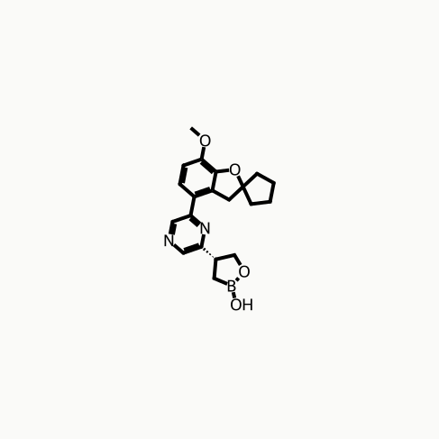 COc1ccc(-c2cncc([C@@H]3COB(O)C3)n2)c2c1OC1(CCCC1)C2